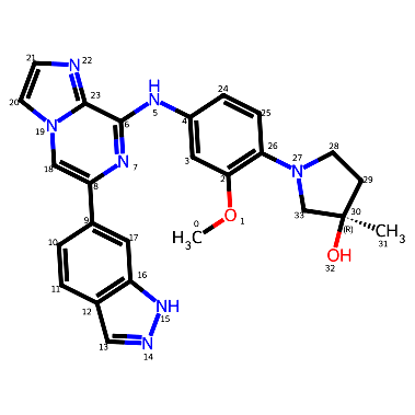 COc1cc(Nc2nc(-c3ccc4cn[nH]c4c3)cn3ccnc23)ccc1N1CC[C@@](C)(O)C1